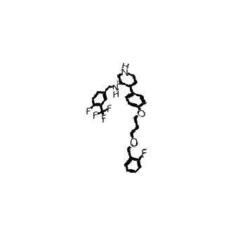 Fc1ccccc1COCCCOc1ccc(C2CCNC[C@H]2NCc2ccc(F)c(C(F)(F)F)c2)cc1